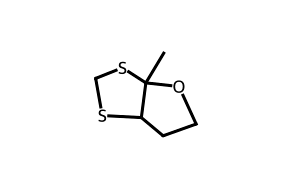 CC12OCCC1SCS2